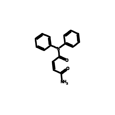 NC(=O)/C=C\C(=O)N(c1ccccc1)c1ccccc1